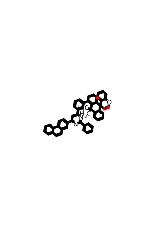 CC1(C)c2ccccc2C2(c3ccccc3Oc3ccccc32)c2cccc(-c3cccc(-c4cc(-c5ccc6c(ccc7ccccc76)c5)nc(-c5ccccc5)n4)c3)c21